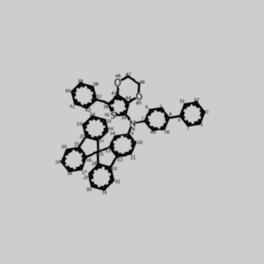 c1ccc(-c2ccc(N(c3ccc4c(c3)C3(c5ccccc5-c5ccccc53)c3ccccc3-4)c3sc(-c4ccccc4)c4c3OCCO4)cc2)cc1